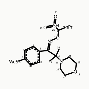 CCCC(ON=C(c1ccc(SC)cc1)C(C)(C)N1CCOCC1)[SH](=O)=O